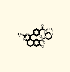 CNC(=O)c1ccc(-c2nc(N)nc3c2-c2cc(S(=O)(=O)N4CCOCC4)c(Cl)cc2CC3)cc1